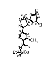 CCC(C)S(=O)(CC)=NC(=O)c1ccc(C2=NOC(c3cc(Cl)cc(Cl)c3)(C(F)(F)F)C2)cc1C